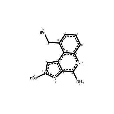 CCCCn1cc2c(n1)c(N)nc1cccc(CC(C)C)c12